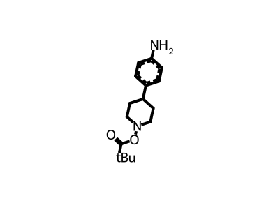 CC(C)(C)C(=O)ON1CCC(c2ccc(N)cc2)CC1